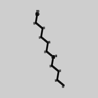 CCCCOCCCCC[O]